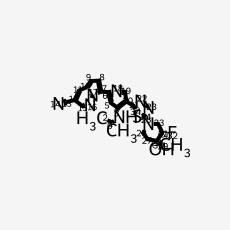 CC(C)Nc1cc(-c2ccc3cc(C#N)cnn23)ncc1-c1nnc(N2CC[C@](C)(O)[C@@H](F)C2)s1